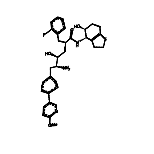 COc1ccc(-c2ccc(C[C@H](N)[C@@H](O)C[C@@H](Cc3ccccc3F)C(=O)N[C@H]3C4=C(CC[C@H]3O)SCC4)cc2)cn1